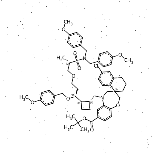 COc1ccc(CO[C@@H](CCOC[C@H](C)S(=O)(=O)N(Cc2ccc(OC)cc2)Cc2ccc(OC)cc2)[C@@H]2CC[C@H]2CN2C[C@@]3(CCCc4cc(Cl)ccc43)COc3ccc(C(=O)OC(C)(C)C)cc32)cc1